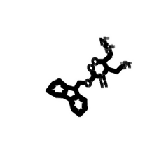 CC(C)CC(NC(=O)OCC1c2ccccc2-c2ccccc21)C(=O)C=[N+]=[N-]